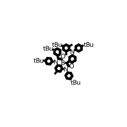 Cc1cc2c3c(c1)N(c1ccc(C(C)(C)C)cc1)c1c(oc4ccc(C(C)(C)C)cc14)B3c1c(oc3ccc(N(c4ccc(C(C)(C)C)cc4)c4c(C)cc(C(C)(C)C)cc4C)cc13)N2c1ccc(C(C)(C)C)cc1